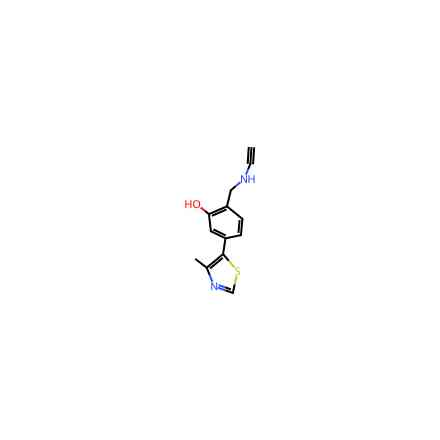 C#CNCc1ccc(-c2scnc2C)cc1O